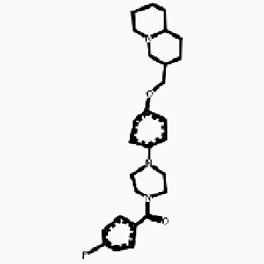 O=C(c1ccc(F)cc1)N1CCN(c2ccc(OCC3CCC4CCCCN4C3)cc2)CC1